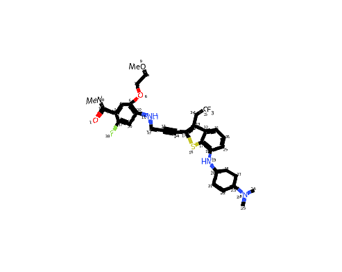 CNC(=O)c1cc(OCCOC)c(NCC#Cc2sc3c(NC4CCC(N(C)C)CC4)cccc3c2CC(F)(F)F)cc1F